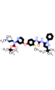 CSc1cc(Oc2ccnc(N(CCN(C)C)C(=O)OC(C)(C)C)c2)ccc1NC(=O)Nc1cc(C(C)(C)C)nn1-c1ccccc1